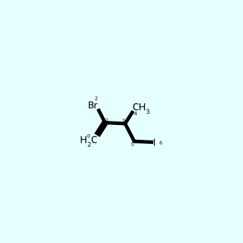 C=C(Br)C(C)CI